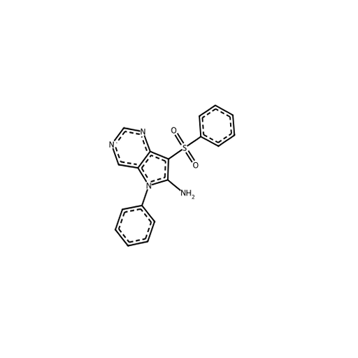 Nc1c(S(=O)(=O)c2ccccc2)c2ncncc2n1-c1ccccc1